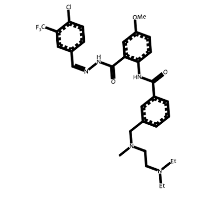 CCN(CC)CCN(C)Cc1cccc(C(=O)Nc2ccc(OC)cc2C(=O)N/N=C\c2ccc(Cl)c(C(F)(F)F)c2)c1